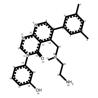 Cc1cc(C)cc(-c2cnc3ncn(-c4cccc(O)c4)c(=O)c3c2CN(C)CCN)c1